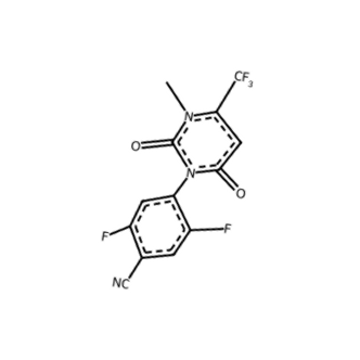 Cn1c(C(F)(F)F)cc(=O)n(-c2cc(F)c(C#N)cc2F)c1=O